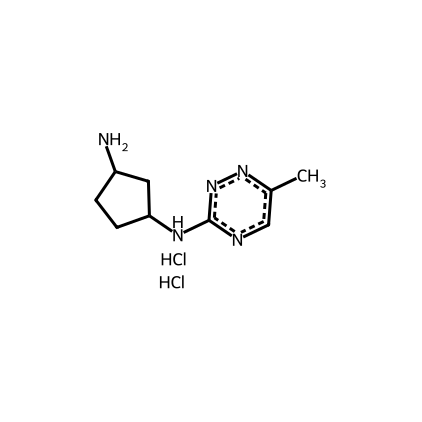 Cc1cnc(NC2CCC(N)C2)nn1.Cl.Cl